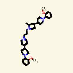 CC1C=C(C2=CCN(c3ccccc3OC(F)(F)F)C=C2)C=CN1CCC[n+]1ccc(C2=CCN(c3ccccc3OC(F)(F)F)C=C2)cc1